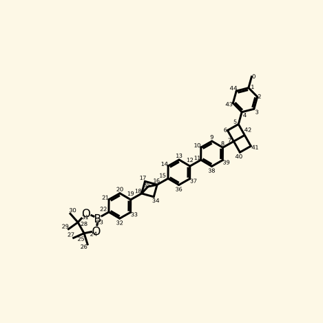 Cc1ccc(C2CC3(c4ccc(-c5ccc(C67CC(c8ccc(B9OC(C)(C)C(C)(C)O9)cc8)(C6)C7)cc5)cc4)CCC23)cc1